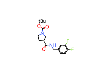 CC(C)(C)OC(=O)N1CCC(C(=O)NCc2ccc(F)c(F)c2)C1